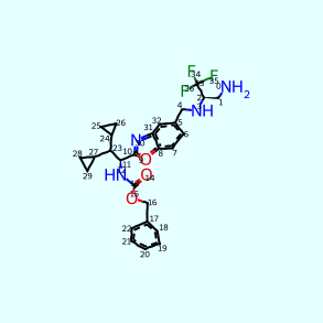 NC[C@@H](NCc1ccc2oc([C@@H](NC(=O)OCc3ccccc3)C(C3CC3)C3CC3)nc2c1)C(F)(F)F